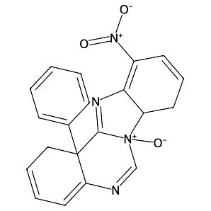 O=[N+]([O-])C1=C2N=C3C4(c5ccccc5)CC=CC=C4N=C[N+]3([O-])C2CC=C1